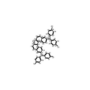 Cc1ccc(N(c2ccc(C)cc2)c2ccc3c(ccc4oc5ccc6cc(N(c7ccc(C)cc7)c7ccc(C)cc7)ccc6c5c43)c2)cc1